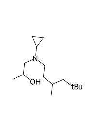 CC(O)CN(CCC(C)CC(C)(C)C)C1CC1